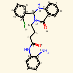 Nc1ccccc1NC(=O)CCCN1C(=O)c2ccccc2NC1c1ccccc1F